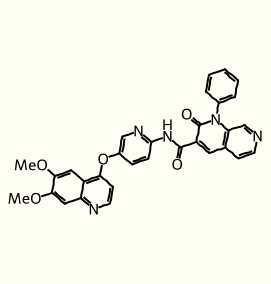 COc1cc2nccc(Oc3ccc(NC(=O)c4cc5ccncc5n(-c5ccccc5)c4=O)nc3)c2cc1OC